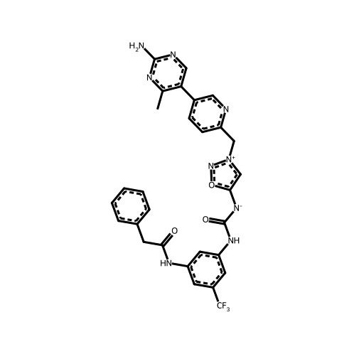 Cc1nc(N)ncc1-c1ccc(C[n+]2cc([N-]C(=O)Nc3cc(NC(=O)Cc4ccccc4)cc(C(F)(F)F)c3)on2)nc1